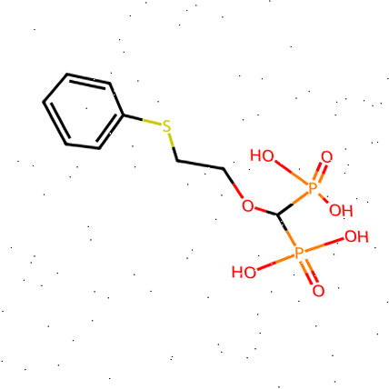 O=P(O)(O)C(OCCSc1ccccc1)P(=O)(O)O